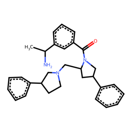 CC(N)c1cccc(C(=O)N2CC(c3ccccc3)CC2CN2CCC(c3ccccc3)C2)c1